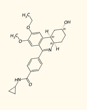 CCOc1cc2c(cc1OC)C(c1ccc(C(=O)NC3CC3)cc1)=N[C@@H]1CC[C@@H](O)C[C@H]21